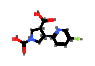 O=C(O)[C@@H]1CN(C(=O)O)C[C@H]1c1ccc(F)cn1